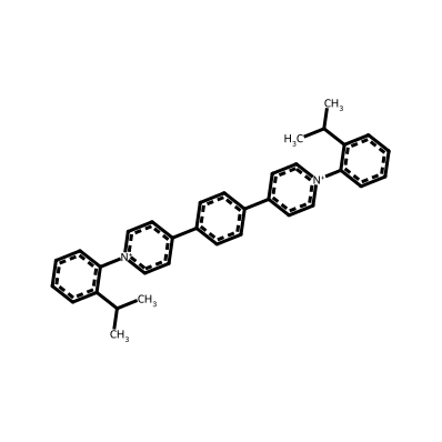 CC(C)c1ccccc1-[n+]1ccc(-c2ccc(-c3cc[n+](-c4ccccc4C(C)C)cc3)cc2)cc1